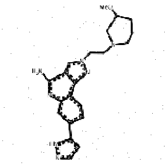 COC1CCCN(CCn2cc3c(N)nc4cc(-c5ccn[nH]5)ccc4c3n2)C1